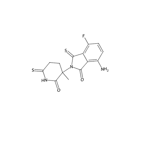 CC1(N2C(=O)c3c(N)ccc(F)c3C2=S)CCC(=S)NC1=O